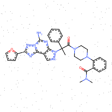 CN(C)C(=O)c1ccccc1N1CCN(C(=O)C(C)(c2ccccc2)n2ncc3c2nc(N)n2nc(-c4ccco4)nc32)CC1